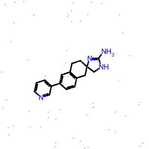 NC1=NC2(CCc3cc(-c4cccnc4)ccc3C2)CN1